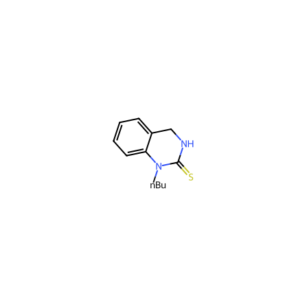 CCCCN1C(=S)NCc2ccccc21